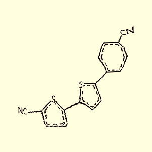 N#Cc1ccc(-c2ccc(-c3ccc(C#N)s3)s2)cc1